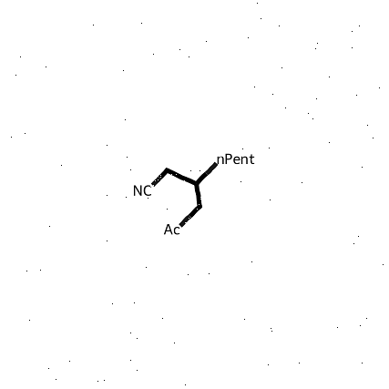 CCCCCC(CC#N)CC(C)=O